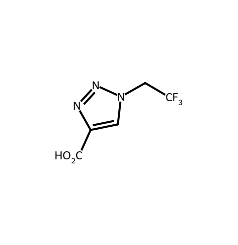 O=C(O)c1cn(CC(F)(F)F)nn1